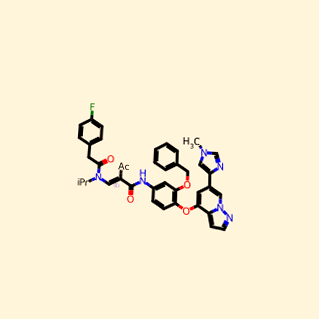 CC(=O)/C(=C\N(C(=O)Cc1ccc(F)cc1)C(C)C)C(=O)Nc1ccc(Oc2cc(-c3cn(C)cn3)cn3nccc23)c(OCc2ccccc2)c1